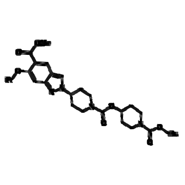 COC(=O)c1cc2cn(C3CCN(C(=O)OC4CCN(C(=O)OC(C)(C)C)CC4)CC3)nc2cc1OC(C)C